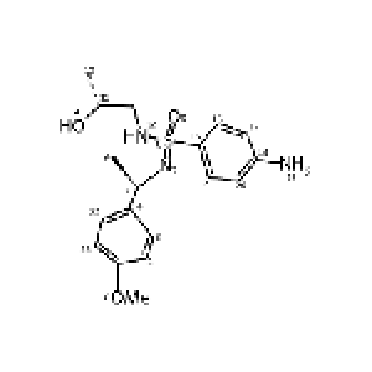 COc1ccc([C@@H](C)N=[S@@](=O)(NC[C@@H](C)O)c2ccc(N)cc2)cc1